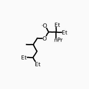 CCCC(CC)(CC)C([O])OCC(C)CC(CC)CC